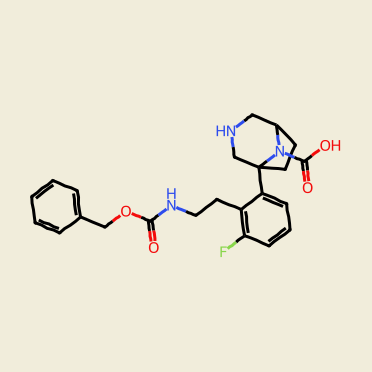 O=C(NCCc1c(F)cccc1C12CCC(CNC1)N2C(=O)O)OCc1ccccc1